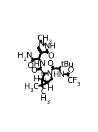 Cn1cc(C(NC(=O)[C@@H]2[C@@H]3[C@H](CN2C(=O)C(NC(=O)C(F)(F)F)C(C)(C)C)C3(C)C)C(N)=O)c(=O)[nH]1